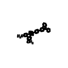 Cc1ccc2c(c1)c1cc(C)ccc1c1nc(-c3ccc(-c4ccc5c(c4)C4C=CC=CC4N5c4ccccc4)cc3)cnc21